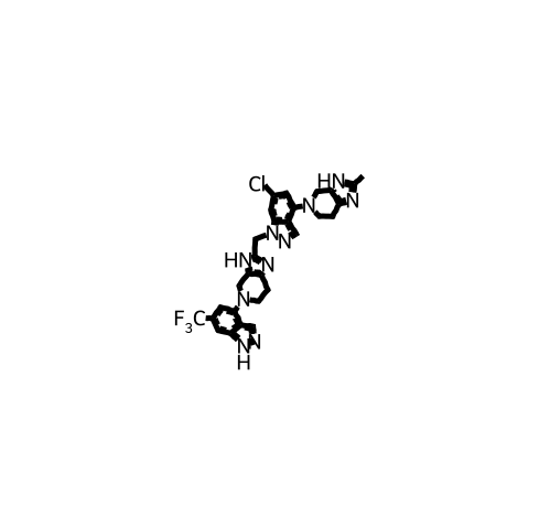 Cc1nc2c([nH]1)CN(c1cc(Cl)cc3c1cnn3Cc1nc3c([nH]1)CN(c1cc(C(F)(F)F)cc4[nH]ncc14)CC3)CC2